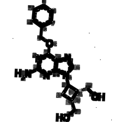 Nc1nc(OCc2ccccc2)c2ncn(C3C[C@H](CO)[C@H]3CO)c2n1